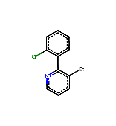 CCc1cccnc1-c1ccccc1Cl